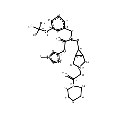 Cn1cnc(OC(=O)N(Cc2cccc(OC(F)(F)F)c2)CC2C3CN(CC(=O)N4CCCCC4)CC32)c1